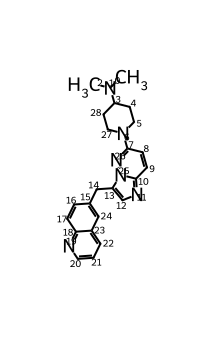 CN(C)C1CCN(c2ccc3ncc(Cc4ccc5ncccc5c4)n3n2)CC1